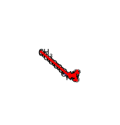 COCCOCCOCCOCCOCCOCCOCCOCCOCCOC(=O)/C=C/c1ccc(-c2nc3c(c(=O)n(CC4CCCCC4)c(=O)n3CC3CCCCC3)n2CC#N)cc1